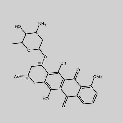 COc1cccc2c1C(=O)c1c(O)c3c(c(O)c1C2=O)C[C@H](C(C)=O)C[C@@H]3OC1CC(N)C(O)C(C)O1